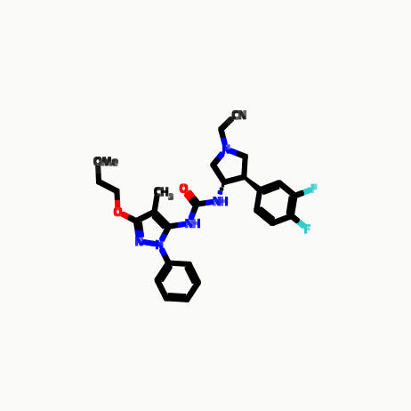 COCCOc1nn(-c2ccccc2)c(NC(=O)N[C@@H]2CN(CC#N)C[C@H]2c2ccc(F)c(F)c2)c1C